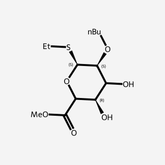 CCCCO[C@H]1C(O)[C@@H](O)C(C(=O)OC)O[C@H]1SCC